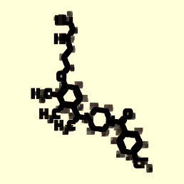 Cc1c(OCCCNCC(C)(C)C)ccc(C(C)N2CCN(C(=O)c3ccc(C(F)(F)F)cc3)CC2)c1C